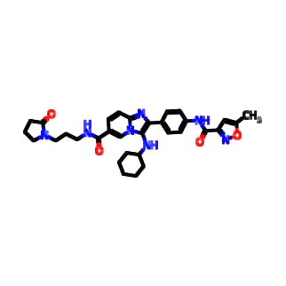 Cc1cc(C(=O)Nc2ccc(-c3nc4ccc(C(=O)NCCCN5CCCC5=O)cn4c3NC3CCCCC3)cc2)no1